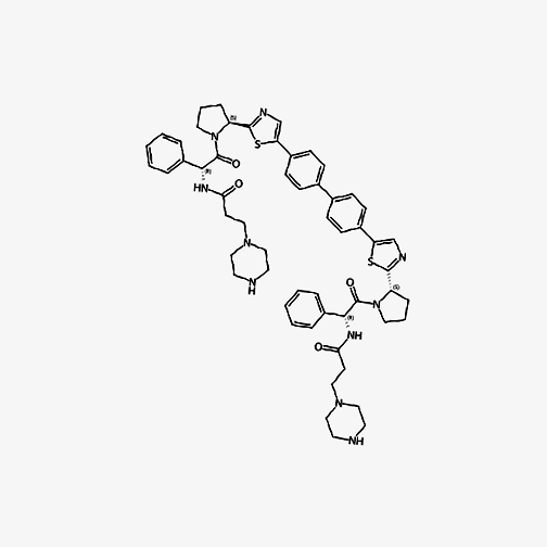 O=C(CCN1CCNCC1)N[C@@H](C(=O)N1CCC[C@H]1c1ncc(-c2ccc(-c3ccc(-c4cnc([C@@H]5CCCN5C(=O)[C@H](NC(=O)CCN5CCNCC5)c5ccccc5)s4)cc3)cc2)s1)c1ccccc1